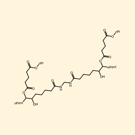 CCCCCC(OC(=O)CCCC(=O)OCCC)C(O)CCCCC(=O)NCNC(=O)CCCCC(O)C(CCCCC)OC(=O)CCCC(=O)OCCC